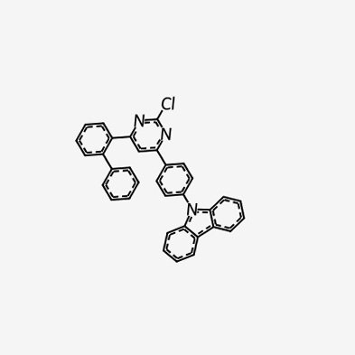 Clc1nc(-c2ccc(-n3c4ccccc4c4ccccc43)cc2)cc(-c2ccccc2-c2ccccc2)n1